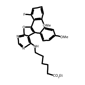 CCOC(=O)CCCCCNc1ncnc2oc(-c3c(F)cccc3OC)c(-c3ccc(OC)cc3)c12